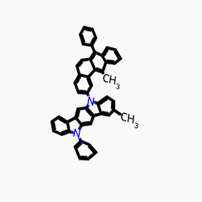 Cc1ccc2c(c1)c1cc3c(cc1n2-c1ccc2ccc4c(-c5ccccc5)c5ccccc5c(C)c4c2c1)c1ccccc1n3-c1ccccc1